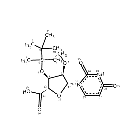 CO[C@@H]1[C@H](O[Si](C)(C)C(C)(C)C)[C@@H](C(=O)O)O[C@H]1n1ccc(=O)[nH]c1=O